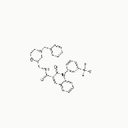 O=C(NCC1CN(Cc2ccccc2)CCO1)c1cc2ccccc2n(-c2cccc(C(F)(F)F)c2)c1=O